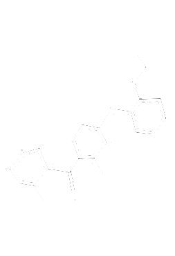 CCOC(=O)CNc1ccccc1Nc1ccc(C(=O)c2ccccc2C)c(Cl)c1